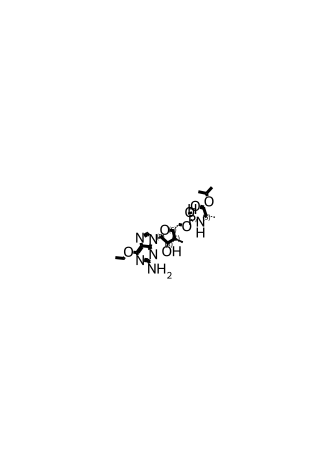 CCOc1nc(N)nc2c1ncn2[C@@H]1O[C@H](CO[PH](=O)N[C@@H](C)C(=O)OC(C)C)[C@@H](C)[C@H]1O